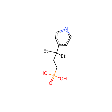 CCC(CC)(CCP(=O)(O)O)c1ccncc1